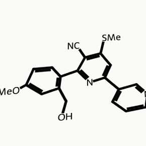 COc1ccc(-c2nc(-c3cccnc3)cc(SC)c2C#N)c(CO)c1